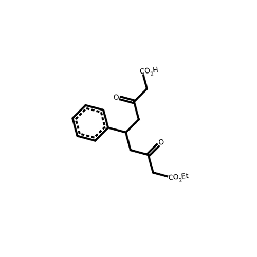 CCOC(=O)CC(=O)CC(CC(=O)CC(=O)O)c1ccccc1